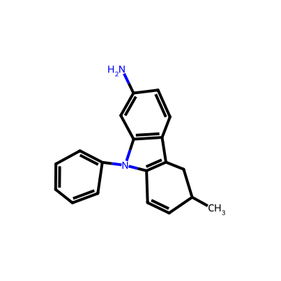 CC1C=Cc2c(c3ccc(N)cc3n2-c2ccccc2)C1